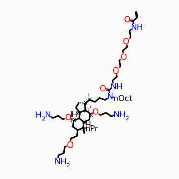 C=CC(=O)NCCOCCOCCOCCNC(=O)N(CCCCCCCC)CCC[C@@H](C)[C@H]1CC[C@H]2C3[C@H](OCCCN)CC(CCOCCCN)[C@](C)(CCC)[C@H]3C[C@H](OCCCN)[C@]12C